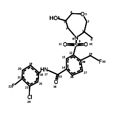 CC1COCC(O)CN1S(=O)(=O)c1cc(C(=O)Nc2ccc(F)c(Cl)c2)ccc1CF